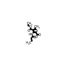 CCCC(=O)Nc1c(C(=O)O)sc(C)c1C(=O)OCC